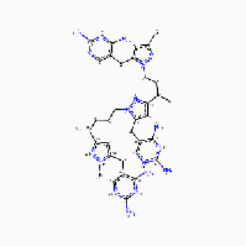 CC(C)c1cc(Cc2cnc(N)nc2N)n(CCC(C)c2cc(Cc3cnc(N)nc3N)n(CCCC(C)c3cc(Cc4cnc(N)nc4N)n(C(C)C)n3)n2)n1